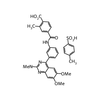 CNc1nc(-c2cccc(NC(=O)c3ccc(C(=O)O)c(C)c3)c2)c2cc(OC)c(OC)cc2n1.Cc1ccc(S(=O)(=O)O)cc1